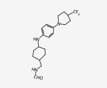 O=CNCC1CCC(Nc2ccc(N3CCC(C(F)(F)F)CC3)cc2)CC1